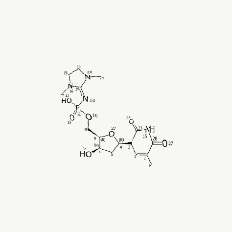 CC1=CC([C@H]2C[C@@H](O)[C@@H](COP(=O)(O)N=C3N(C)CCN3C)O2)C(=O)NC1=O